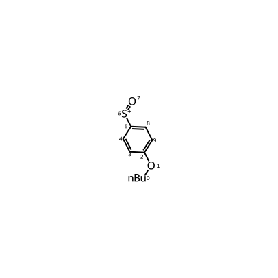 CCCCOc1ccc([S+]=O)cc1